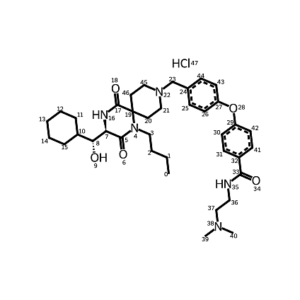 CCCCN1C(=O)[C@@H]([C@H](O)C2CCCCC2)NC(=O)C12CCN(Cc1ccc(Oc3ccc(C(=O)NCCN(C)C)cc3)cc1)CC2.Cl